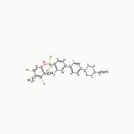 CCCCCC1CCC(c2ccc(-c3ccc(C(F)(F)Oc4cc(F)c(C)c(F)c4C)cc3)cc2)CC1